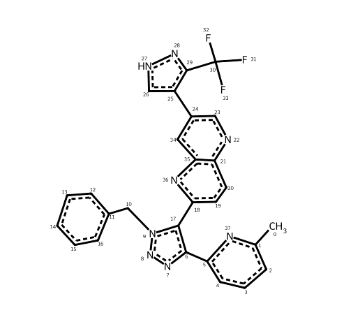 Cc1cccc(-c2nnn(Cc3ccccc3)c2-c2ccc3ncc(-c4c[nH]nc4C(F)(F)F)cc3n2)n1